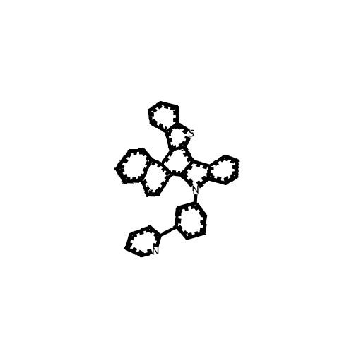 c1ccc(-c2cccc(-n3c4ccccc4c4c5sc6ccccc6c5c5c6ccccc6ccc5c43)c2)nc1